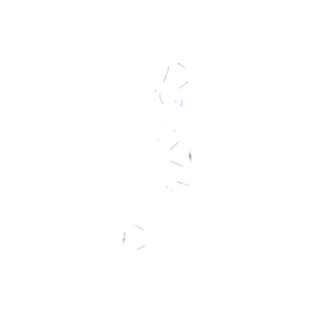 CCOC(=O)c1ccccc1OCCNC(=O)c1ccc2nc(Cc3nc4c(F)cc(F)c(F)c4[nH]3)n(C)c2c1